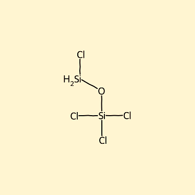 Cl[SiH2]O[Si](Cl)(Cl)Cl